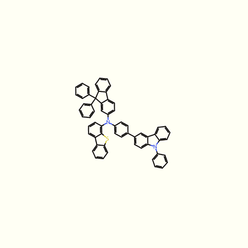 c1ccc(-n2c3ccccc3c3cc(-c4ccc(N(c5ccc6c(c5)C(c5ccccc5)(c5ccccc5)c5ccccc5-6)c5cccc6c5sc5ccccc56)cc4)ccc32)cc1